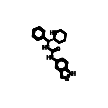 O=C(Nc1ccc2[nH]ncc2c1)NC(c1ccccc1)[C@H]1CCCCN1